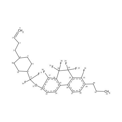 C=CCCC1CCC(C(F)(F)Oc2ccc3c(c2F)C(F)(F)C(F)(F)c2c-3ccc(CCC)c2F)CC1